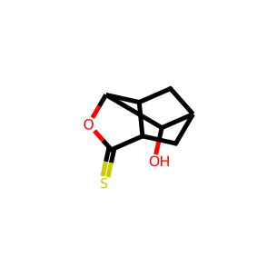 OC1C2CC3C(=S)OC1C3C2